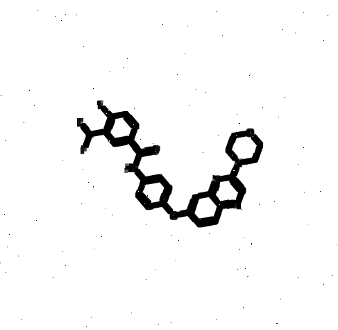 O=C(Nc1ccc(Oc2ccc3ncc(N4CCOCC4)nc3c2)cc1)c1ccc(F)c(C(F)F)c1